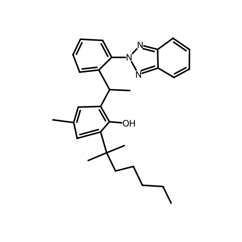 CCCCCC(C)(C)c1cc(C)cc(C(C)c2ccccc2-n2nc3ccccc3n2)c1O